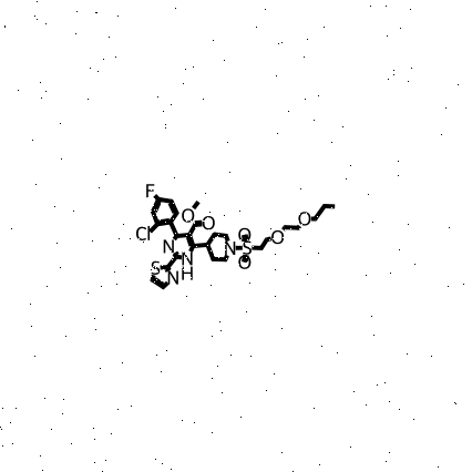 CCCOCCOCCS(=O)(=O)N1CCC(C2=C(C(=O)OC)C(c3ccc(F)cc3Cl)N=C(c3nccs3)N2)CC1